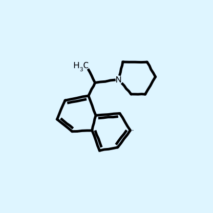 CC(c1cccc2cc[c]cc12)N1CCCCC1